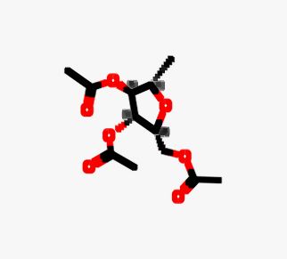 CC(=O)OC[C@H]1O[C@@H](C)[C@H](OC(C)=O)[C@H]1OC(C)=O